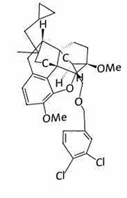 COc1ccc2c3c1O[C@H]1[C@@]4(OC)CC[C@@]5(C[C@@H]4COCc4ccc(Cl)c(Cl)c4)[C@@H](C2)C(C)(CC2CC2)CC[C@]315